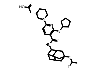 O=C(O)C[C@@H]1CCCN(c2ccc(C(=O)NC3C4CC5CC3CC(OC(F)F)(C5)C4)c(SC3CCCC3)n2)C1